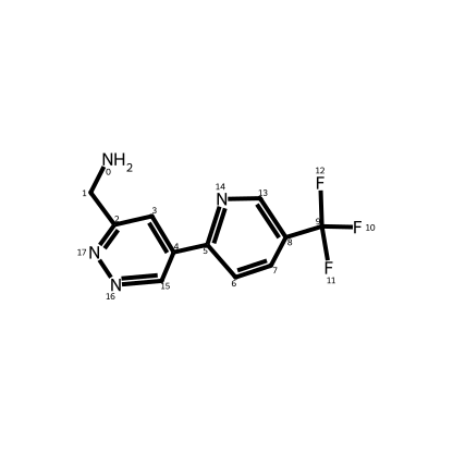 NCc1cc(-c2ccc(C(F)(F)F)cn2)cnn1